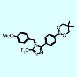 COc1ccc(Cn2c(-c3ccc(B4OCC(C)(C)CO4)cc3)nnc2C(F)(F)F)cc1